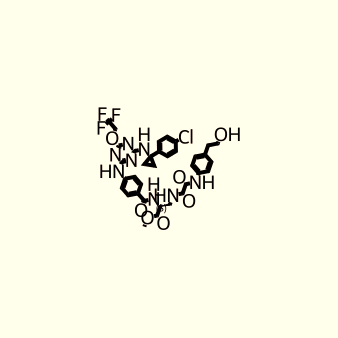 COC(=O)[C@H](CNC(=O)C(=O)Nc1ccc(CCO)cc1)NC(=O)c1ccc(Nc2nc(NC3(c4ccc(Cl)cc4)CC3)nc(OCC(F)(F)F)n2)cc1